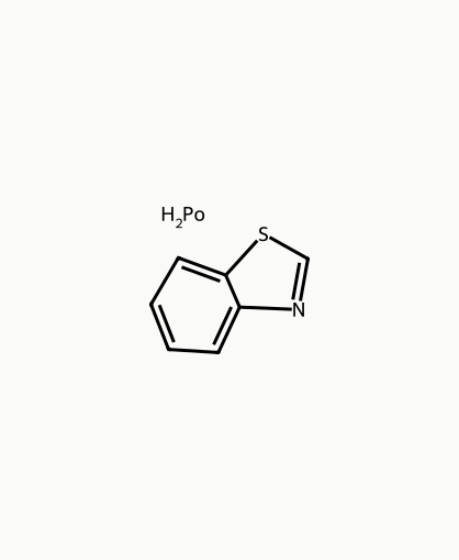 [PoH2].c1ccc2scnc2c1